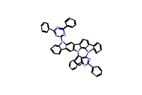 c1ccc(-c2nc(-c3ccccc3)nc(-n3c4ccccc4c4cc5c(cc43)c3ccc4c6ccccc6n(-c6nc(-c7ccccc7)nc(-c7ccccc7)n6)c4c3n5-c3ccccc3)n2)cc1